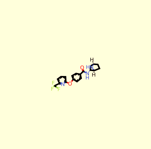 O=C(N[C@@H]1C[C@H]2CC[C@@H]1N2)c1ccc(Oc2cccc(C(F)(F)F)n2)cc1